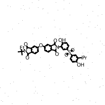 CCC(C)(C)N1C(=O)c2ccc(Oc3ccc4c(c3)C(=O)N(c3cc(S(=O)(=O)c5ccc(O)c(C(C)C)c5)ccc3O)C4=O)cc2C1=O